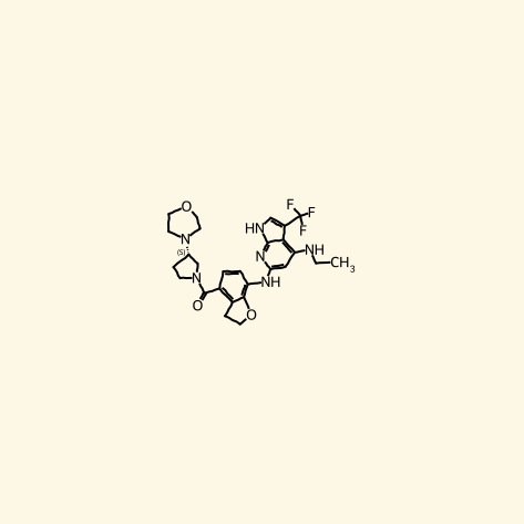 CCNc1cc(Nc2ccc(C(=O)N3CC[C@H](N4CCOCC4)C3)c3c2OCC3)nc2[nH]cc(C(F)(F)F)c12